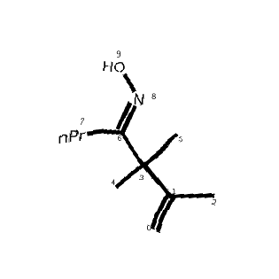 C=C(C)C(C)(C)/C(CCC)=N/O